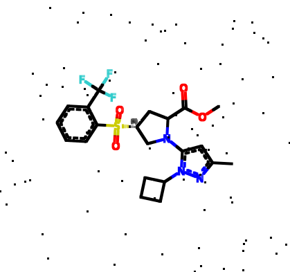 COC(=O)C1C[C@@H](S(=O)(=O)c2ccccc2C(F)(F)F)CN1c1cc(C)nn1C1CCC1